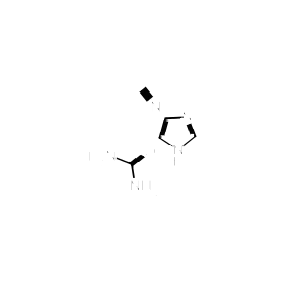 C#N.NC(N)=O.c1c[nH]cn1